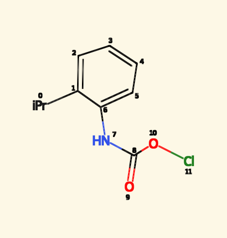 CC(C)c1ccccc1NC(=O)OCl